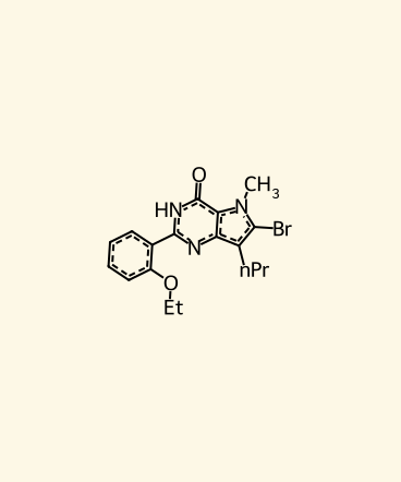 CCCc1c(Br)n(C)c2c(=O)[nH]c(-c3ccccc3OCC)nc12